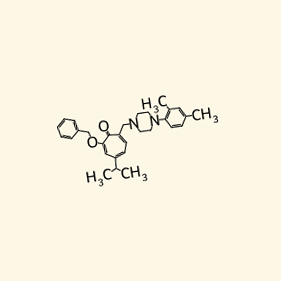 Cc1ccc(N2CCN(Cc3ccc(C(C)C)cc(OCc4ccccc4)c3=O)CC2)c(C)c1